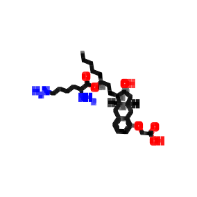 CCCCC[C@@H](CC[C@@H]1[C@H]2Cc3cccc(OCC(=O)O)c3C[C@H]2C[C@H]1O)OC(=O)C(N)CCCCN